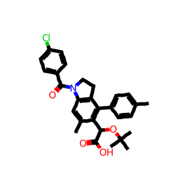 Cc1ccc(-c2c3c(cc(C)c2C(OC(C)(C)C)C(=O)O)N(C(=O)c2ccc(Cl)cc2)CC3)cc1